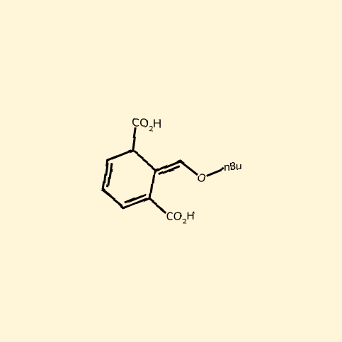 CCCCOC=C1C(C(=O)O)=CC=CC1C(=O)O